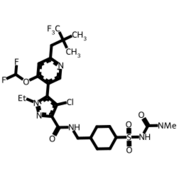 CCn1nc(C(=O)NCC2CCC(S(=O)(=O)NC(=O)NC)CC2)c(Cl)c1-c1cnc(CC(C)(C)C(F)(F)F)cc1OC(F)F